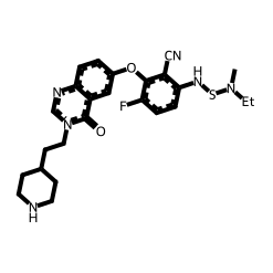 CCN(C)SNc1ccc(F)c(Oc2ccc3ncn(CCC4CCNCC4)c(=O)c3c2)c1C#N